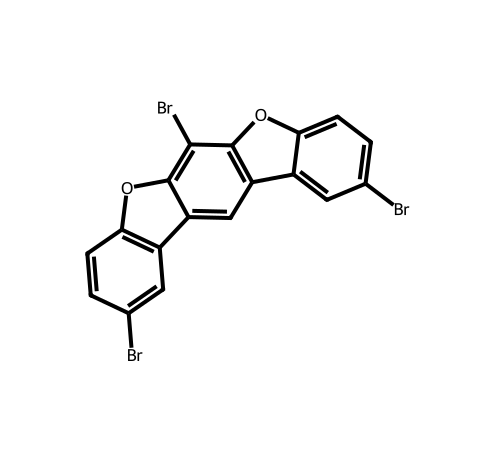 Brc1ccc2oc3c(Br)c4oc5ccc(Br)cc5c4cc3c2c1